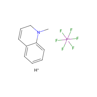 CN1CC=Cc2ccccc21.F[P-](F)(F)(F)(F)F.[H+]